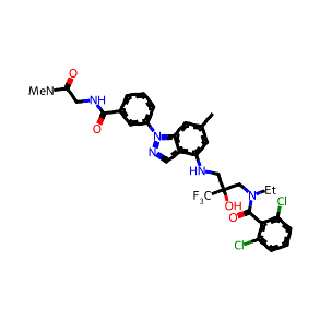 CCN(CC(O)(CNc1cc(C)cc2c1cnn2-c1cccc(C(=O)NCC(=O)NC)c1)C(F)(F)F)C(=O)c1c(Cl)cccc1Cl